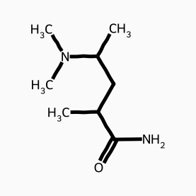 CC(CC(C)N(C)C)C(N)=O